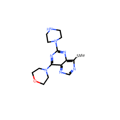 CSc1ncnc2c(N3CCOCC3)nc(N3CCNCC3)nc12